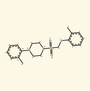 Cc1ccccc1SCS(=O)(=O)N1CCN(c2ccccc2C)CC1